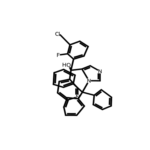 OC(c1cccnc1)(c1cccc(Cl)c1F)c1cncn1C(c1ccccc1)(c1ccccc1)c1ccccc1